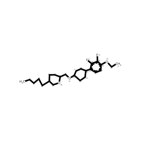 CCCCCC1CCC(COC2CCC(c3ccc(OCC)c(F)c3F)CC2)OC1